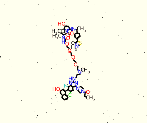 C=CC(=O)N1CCN(c2nc(NCCCN(C)CCOCCOCCOCCOCC(=O)NC(C(=O)N3C[C@H](O)C[C@H]3C(=O)NC(C)c3ccc(-c4scnc4C)cc3)C(C)(C)C)nc3c(F)c(-c4cc(O)cc5ccccc45)c(Cl)cc23)CC1